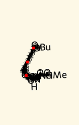 COC(=O)CCNC(=O)c1cnc(NS(=O)(=O)c2ccc(Oc3ccc(CCCCCCCCCCCCCC(=O)OC(C)(C)C)cc3)cc2)nc1